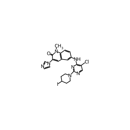 Cn1c(=O)c(-n2ccnc2)cc2cc(Nc3nc(N4CCC(I)CC4)ncc3Cl)ccc21